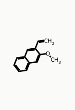 C=Cc1cc2ccccc2cc1OC